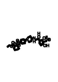 CCOC(=O)C1(NS(=O)(=O)c2ccc(N3CCC(NCC(O)c4ccc(O)c(CS(C)(=O)=O)c4)CC3)cc2)CCCCC1